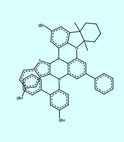 CC(C)(C)c1ccc(N2c3cc(-c4ccccc4)cc4c3B(c3cc(C(C)(C)C)cc5c3N4C3(C)CCCCC53C)c3sc4ccc(C(C)(C)C)cc4c32)c(-c2ccccc2)c1